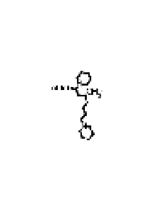 [CH2]C(CCCCN1CCCCC1)CC(CCCCCCCC)N1CCCCC1